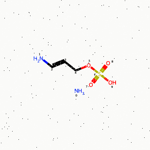 N.NC=CCOS(=O)(=O)O